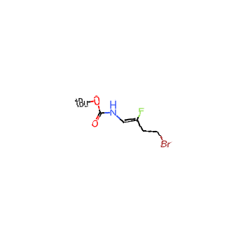 CC(C)(C)OC(=O)NC=C(F)CCBr